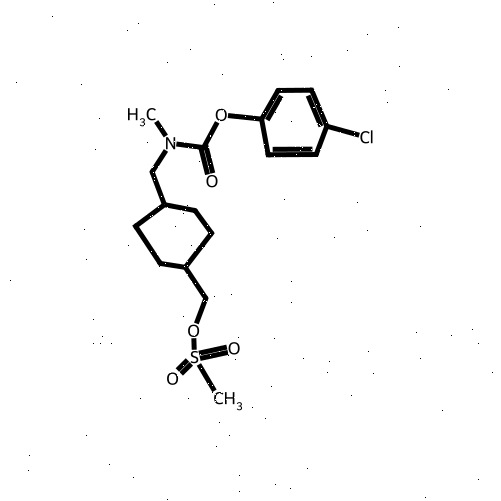 CN(CC1CCC(COS(C)(=O)=O)CC1)C(=O)Oc1ccc(Cl)cc1